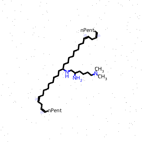 CCCCC/C=C\C/C=C\CCCCCCCCC(CCCCCCCC/C=C\C/C=C\CCCCC)NCC(N)CCCCN(C)C